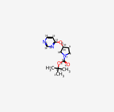 CC(C)(C)OC(=O)N1CC[C@H](Oc2ccncn2)C1